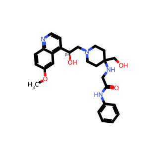 COc1ccc2nccc([C@H](O)CN3CCC(CO)(NCC(=O)Nc4ccccc4)CC3)c2c1